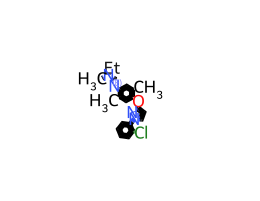 CCN(C)/C=N/c1cc(C)c(Oc2ccn(-c3ccccc3Cl)n2)cc1C